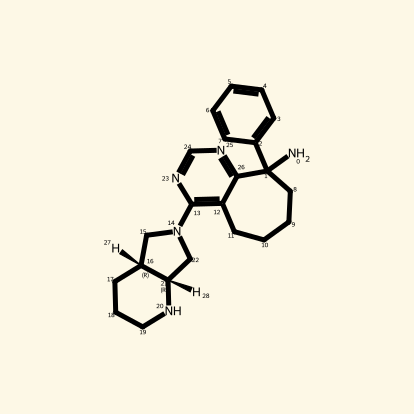 NC1(c2ccccc2)CCCCc2c(N3C[C@H]4CCCN[C@H]4C3)ncnc21